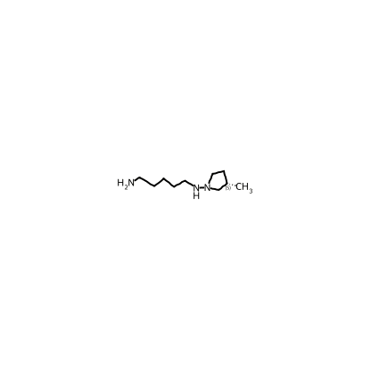 C[C@H]1CCN(NCCCCCN)C1